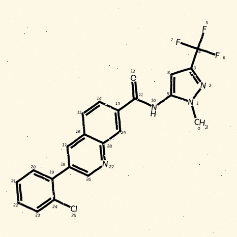 Cn1nc(C(F)(F)F)cc1NC(=O)c1ccc2cc(-c3ccccc3Cl)cnc2c1